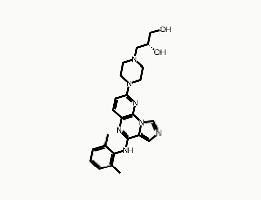 Cc1cccc(C)c1Nc1nc2ccc(N3CCN(C[C@@H](O)CO)CC3)nc2n2cncc12